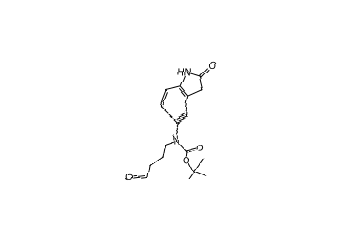 CC(C)(C)OC(=O)N(CCCC=O)c1ccc2c(c1)CC(=O)N2